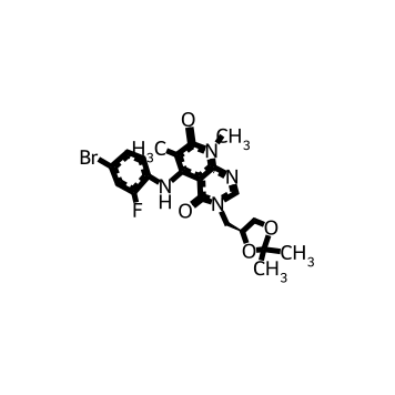 Cc1c(Nc2ccc(Br)cc2F)c2c(=O)n(C[C@H]3COC(C)(C)O3)cnc2n(C)c1=O